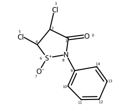 O=C1C(Cl)C(Cl)[S+]([O-])N1c1ccccc1